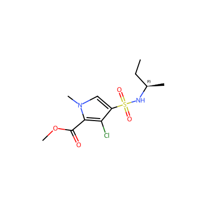 CC[C@@H](C)NS(=O)(=O)c1cn(C)c(C(=O)OC)c1Cl